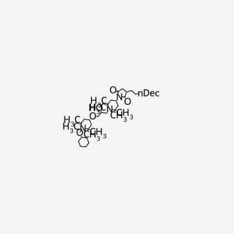 CCCCCCCCCCCCC1CC(=O)N(C2CC(C)(C)N(CC(O)COC3CC(C)(C)N(OC4CCCCC4)C(C)(C)C3)C(C)(C)C2)C1=O